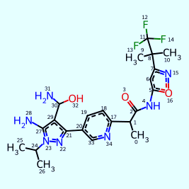 CC(C(=O)Nc1cc(C(C)(C)C(F)(F)F)no1)c1ccc(-c2nn(C(C)C)c(N)c2C(N)O)cn1